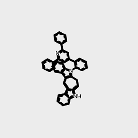 C1=c2[nH]c3ccccc3c2=Cc2c(n(-c3ccccc3-c3cc(-c4ccccc4)nc(-c4ccccc4)c3)c3ccccc23)C1